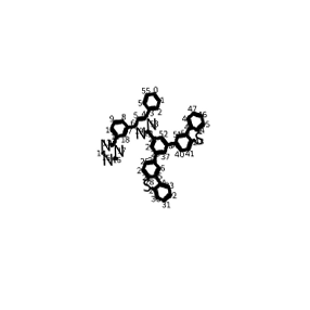 c1ccc(-c2cc(-c3cccc(-c4ncncn4)c3)nc(-c3cc(-c4ccc5sc6ccccc6c5c4)cc(-c4ccc5sc6ccccc6c5c4)c3)n2)cc1